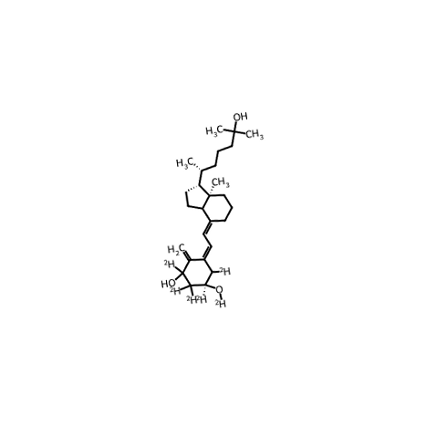 [2H]O[C@]1([2H])C([2H])/C(=C/C=C2CCC[C@@]3(C)C2CC[C@@H]3[C@H](C)CCCC(C)(C)O)C(=C)C([2H])(O)C1([2H])[2H]